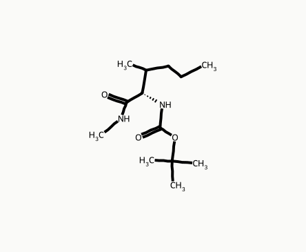 CCCC(C)[C@H](NC(=O)OC(C)(C)C)C(=O)NC